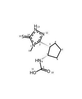 Cn1c([C@@H]2CCC[C@@H]2NC(=O)O)n[nH]c1=S